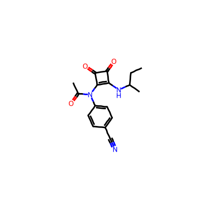 CCC(C)Nc1c(N(C(C)=O)c2ccc(C#N)cc2)c(=O)c1=O